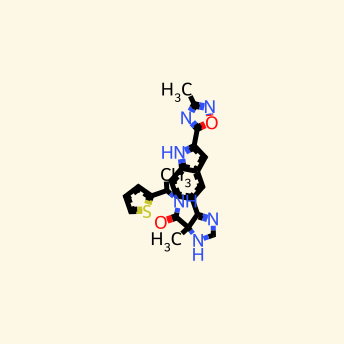 Cc1noc(-c2cc3cc(C4=NCNC4(C)C(=O)NC(C)c4cccs4)ccc3[nH]2)n1